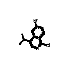 CC(C)c1cnc(Cl)c2ccc(Br)cc12